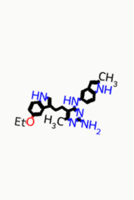 CCOc1ccc2[nH]cc(CCc3c(C)nc(N)nc3Nc3ccc4[nH]c(C)cc4c3)c2c1